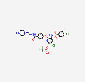 O=C(NCCN1CCNCC1)c1ccc(Oc2ncc(Cl)cc2NS(=O)(=O)c2ccc(Cl)c(Cl)c2)cc1.O=C(O)C(F)(F)F